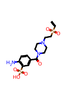 C=CS(=O)(=O)CCN1CCN(C(=O)c2ccc(N)c(S(=O)(=O)O)c2)CC1